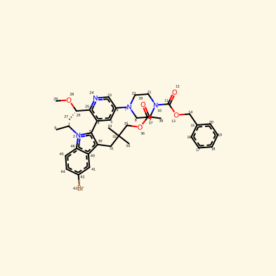 CCn1c(-c2cc(N3CCN(C(=O)OCc4ccccc4)CC3)cnc2[C@H](C)OC)c(CC(C)(C)COC(C)=O)c2cc(Br)ccc21